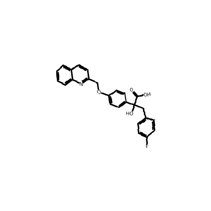 O=C(O)C(O)(Cc1ccc(F)cc1)c1ccc(OCc2ccc3ccccc3n2)cc1